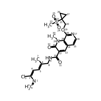 C=N/C(Cl)=C\C=C(/C)CNC(=O)c1cc2ccnc(OCC3(S(C)(=O)=O)CC3)c2n(C)c1=O